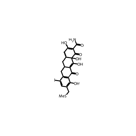 CSCc1cc(I)c2c(c1O)C(=O)C1=C(O)C3(O)C(=O)C(C(N)=O)=C(O)CC3CC1C2